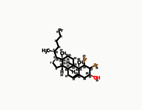 CC(C)CCC[C@@H](C)[C@H]1CC[C@H]2[C@@H]3CC=C4C[C@@H](O)C(Br)C(Br)[C@]4(C)[C@H]3CC[C@]12C